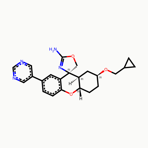 NC1=N[C@]2(CO1)c1cc(-c3cncnc3)ccc1O[C@H]1CC[C@H](OCC3CC3)C[C@@H]12